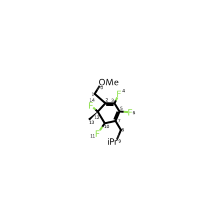 COCC1=C(F)C(F)=C(CC(C)C)C(F)[C@]1(C)F